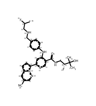 CC(C)(O)[C@H](F)CNC(=O)c1cnc(-c2ccc3cc(C#N)cnn23)cc1Nc1ccc(CNCC(F)F)cc1